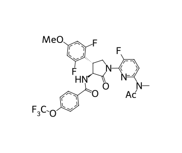 COc1cc(F)c([C@@H]2CN(c3nc(N(C)C(C)=O)ccc3F)C(=O)[C@H]2NC(=O)c2ccc(OC(F)(F)F)cc2)c(F)c1